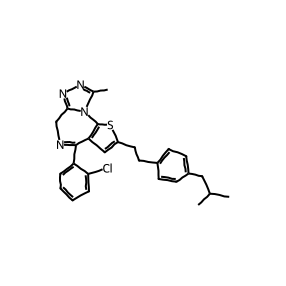 Cc1nnc2n1-c1sc(CCc3ccc(CC(C)C)cc3)cc1C(c1ccccc1Cl)=NC2